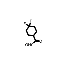 O=CC(=O)C1CCC(F)(F)CC1